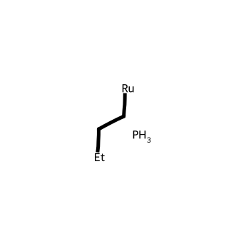 CCC[CH2][Ru].P